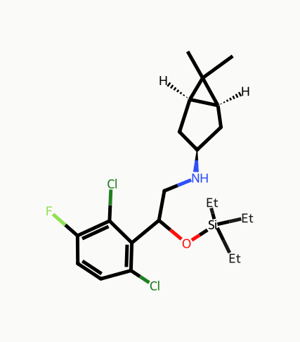 CC[Si](CC)(CC)OC(CN[C@H]1C[C@@H]2[C@H](C1)C2(C)C)c1c(Cl)ccc(F)c1Cl